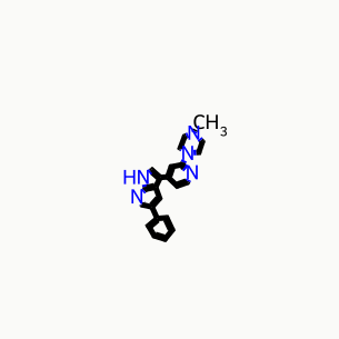 CN1CCN(c2cc(-c3c[nH]c4ncc(-c5ccccc5)cc34)ccn2)CC1